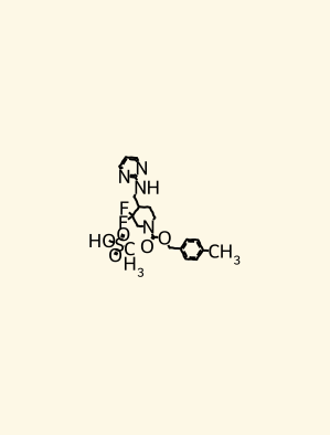 CS(=O)(=O)O.Cc1ccc(COC(=O)N2CCC(CNc3ncccn3)C(F)(F)C2)cc1